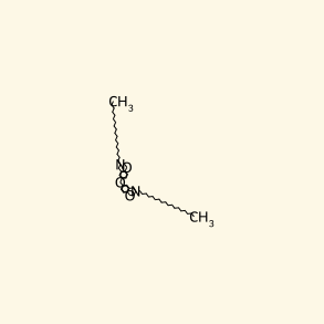 CCCCCCCCCCCCCCCCCCN1COc2ccc(Oc3ccc4c(c3)CN(CCCCCCCCCCCCCCCCCC)CO4)cc2C1